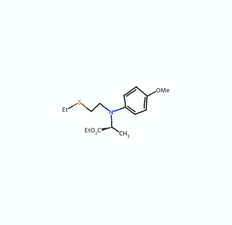 CCOC(=O)[C@H](C)N(CCSCC)c1ccc(OC)cc1